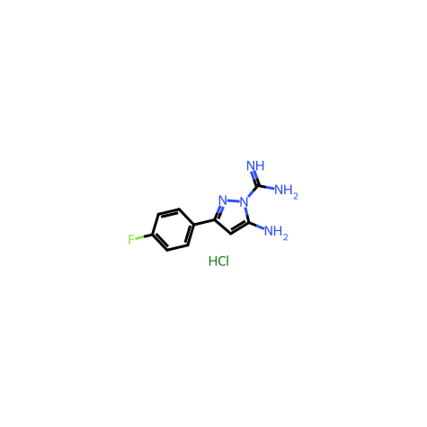 Cl.N=C(N)n1nc(-c2ccc(F)cc2)cc1N